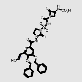 N#C/C=C/c1nc(C(=O)NN2CCN(S(=O)(=O)NC(=O)N3C[C@H](NC(=O)O)C3=O)C2=O)cc(OCc2ccccc2)c1OCc1ccccc1